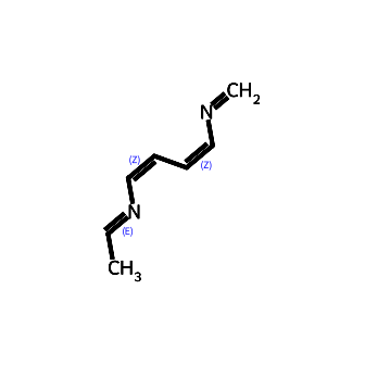 C=N\C=C/C=C\N=C\C